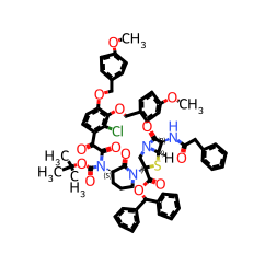 COc1ccc(COc2ccc(C(=O)C(=O)N(C(=O)OC(C)(C)C)[C@H]3CCCN([C@]4(C(=O)OC(c5ccccc5)c5ccccc5)CN5C(=O)[C@@H](NC(=O)Cc6ccccc6)[C@H]5S4)C3=O)c(Cl)c2OCc2ccc(OC)cc2)cc1